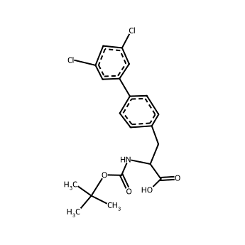 CC(C)(C)OC(=O)NC(Cc1ccc(-c2cc(Cl)cc(Cl)c2)cc1)C(=O)O